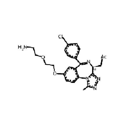 CC(=O)C[C@@H]1N=C(c2ccc(Cl)cc2)c2cc(OCCOCCN)ccc2-n2c(C)nnc21